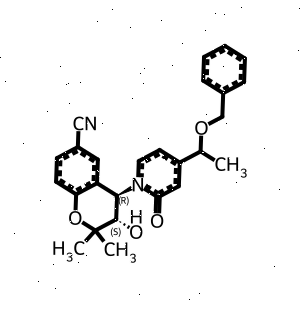 CC(OCc1ccccc1)c1ccn([C@@H]2c3cc(C#N)ccc3OC(C)(C)[C@H]2O)c(=O)c1